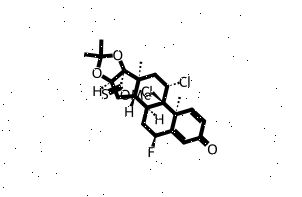 COC(=S)[C@@]12OC(C)(C)O[C@@H]1C[C@H]1[C@@H]3C[C@H](F)C4=CC(=O)C=C[C@]4(C)[C@@]3(Cl)[C@@H](Cl)C[C@@]12C